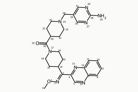 CON=C(c1cnc2ccccc2n1)C1CCN(C(=O)C2CCN(Cc3cnc(N)nc3)CC2)CC1